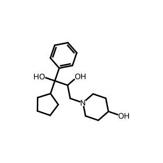 OC1CCN(CC(O)C(O)(c2ccccc2)C2CCCC2)CC1